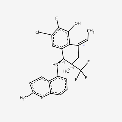 C/C=C1/C[C@@](O)(C(F)(F)F)[C@@H](Nc2cccc3nc(C)ccc23)c2cc(Cl)c(F)c(O)c21